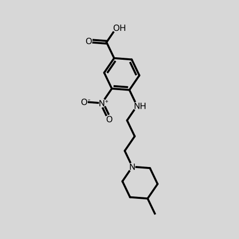 CC1CCN(CCCNc2ccc(C(=O)O)cc2[N+](=O)[O-])CC1